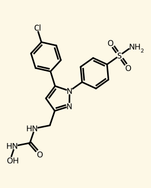 NS(=O)(=O)c1ccc(-n2nc(CNC(=O)NO)cc2-c2ccc(Cl)cc2)cc1